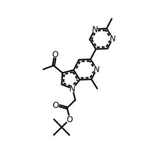 CC(=O)c1cn(CC(=O)OC(C)(C)C)c2c(C)nc(-c3cnc(C)nc3)cc12